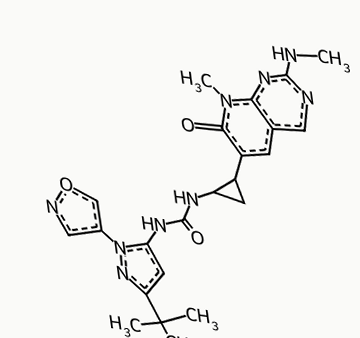 CNc1ncc2cc(C3CC3NC(=O)Nc3cc(C(C)(C)C)nn3-c3cnoc3)c(=O)n(C)c2n1